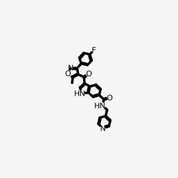 Cc1onc(-c2ccc(F)cc2)c1C(=O)c1c[nH]c2cc(C(=O)NCc3ccncc3)ccc12